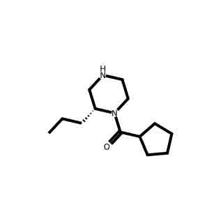 CCC[C@@H]1CNCCN1C(=O)C1CCCC1